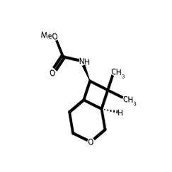 COC(=O)N[C@@H]1C2CCOC[C@@H]2C1(C)C